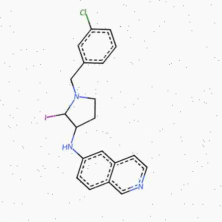 Clc1cccc(CN2CCC(Nc3ccc4cnccc4c3)C2I)c1